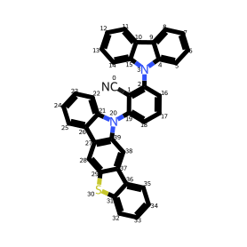 N#Cc1c(-n2c3ccccc3c3ccccc32)cccc1-n1c2ccccc2c2cc3sc4ccccc4c3cc21